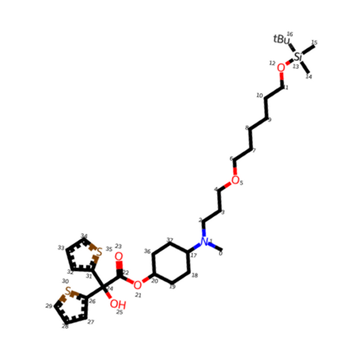 CN(CCCOCCCCCCO[Si](C)(C)C(C)(C)C)C1CCC(OC(=O)C(O)(c2cccs2)c2cccs2)CC1